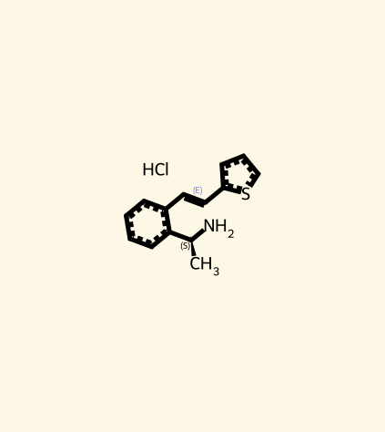 C[C@H](N)c1ccccc1/C=C/c1cccs1.Cl